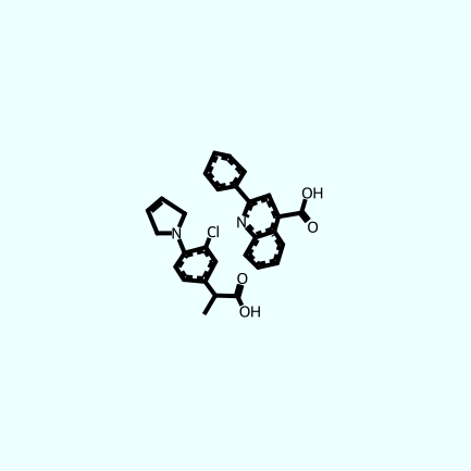 CC(C(=O)O)c1ccc(N2CC=CC2)c(Cl)c1.O=C(O)c1cc(-c2ccccc2)nc2ccccc12